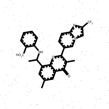 Cc1cc(C(C)Nc2ccccc2C(=O)O)c2oc(-c3ccc4nc(C(F)(F)F)cn4c3)c(C)c(=O)c2c1